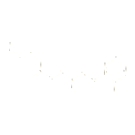 C=C(/C=C\C=C/C)/N=N/C(C)=N/N=c1\ccccn1C